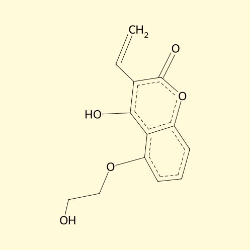 C=Cc1c(O)c2c(OCCO)cccc2oc1=O